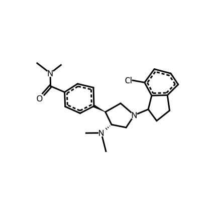 CN(C)C(=O)c1ccc([C@H]2CN(C3CCc4cccc(Cl)c43)C[C@@H]2N(C)C)cc1